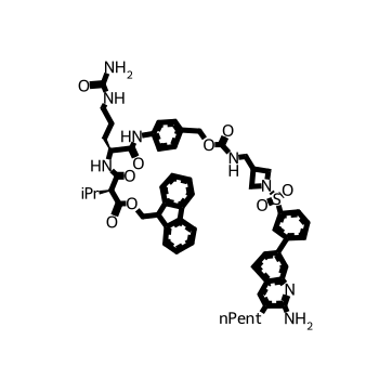 CCCCCc1cc2ccc(-c3cccc(S(=O)(=O)N4CC(CNC(=O)OCc5ccc(NC(=O)[C@H](CCCNC(N)=O)NC(=O)[C@@H](C(=O)OCC6c7ccccc7-c7ccccc76)C(C)C)cc5)C4)c3)cc2nc1N